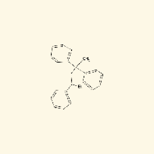 [CH2]CC(CC(C)(c1ccccc1)c1ccccc1)c1ccccc1